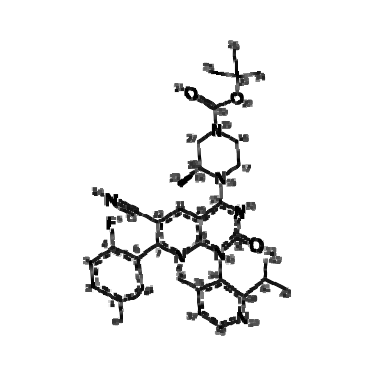 Cc1ccc(F)c(-c2nc3c(cc2C#N)c(N2CCN(C(=O)OC(C)(C)C)C[C@@H]2C)nc(=O)n3-c2c(C)ccnc2C(C)C)c1